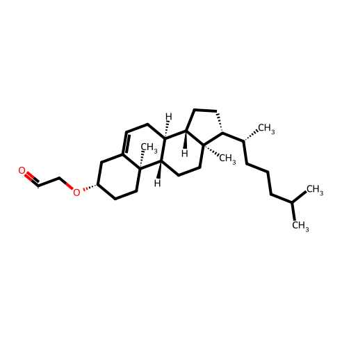 CC(C)CCC[C@@H](C)[C@H]1CC[C@H]2[C@@H]3CC=C4C[C@@H](OC[C]=O)CC[C@]4(C)[C@H]3CC[C@]12C